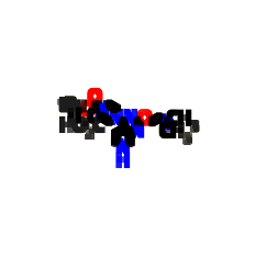 CN(C)CCOc1nc2c(c(N3CCN(C(=O)OC(C)(C)C)C(C)(C(=O)O)C3)n1)CCNC2